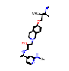 C=N/C(C)=C(/COc1ccc2c(c1)CCN(CC(O)CNC(=C)c1ccnc(NC(C)CC)c1)C2)OC